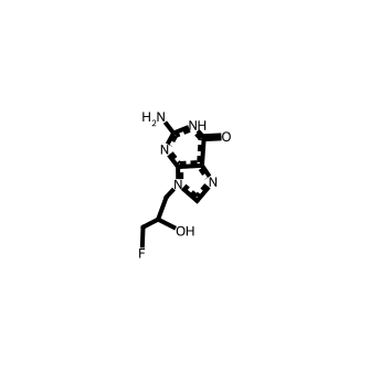 Nc1nc2c(ncn2CC(O)CF)c(=O)[nH]1